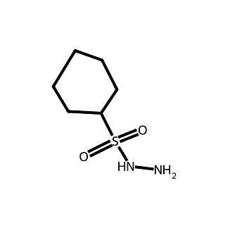 NNS(=O)(=O)C1CCCCC1